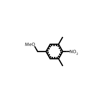 COCc1cc(C)c([N+](=O)[O-])c(C)c1